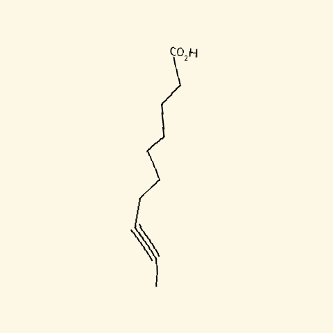 CC#CCCCCCCC(=O)O